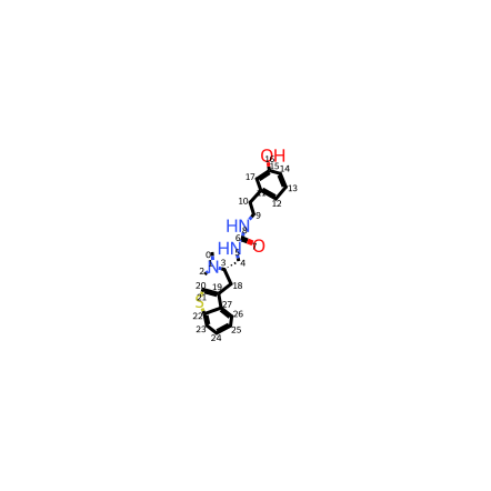 CN(C)[C@H](CNC(=O)NCCc1cccc(O)c1)Cc1csc2ccccc12